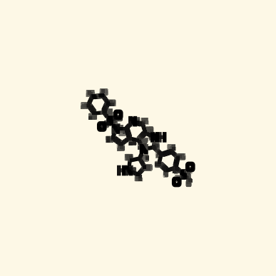 CS(=O)(=O)c1ccc(C2Nc3cnc4c(ccn4S(=O)(=O)c4ccccc4)c3N2C2CCNC2)cc1